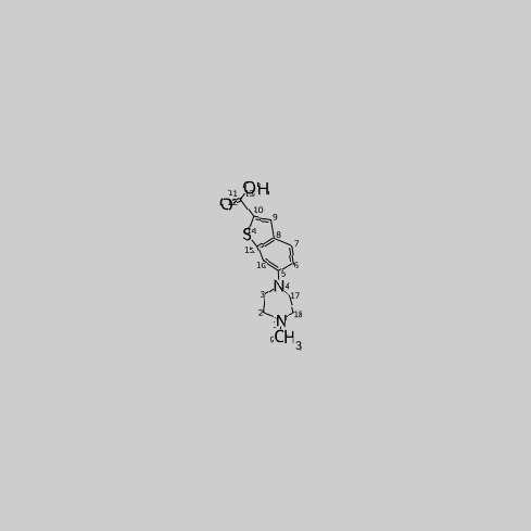 CN1CCN(c2ccc3cc(C(=O)O)sc3c2)CC1